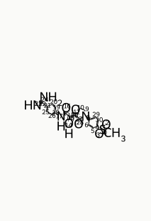 CS(=O)(=O)c1ccc(N2CCO[C@H]([C@@H](O)C(=O)Nc3ccc(C(=N)N)cc3)C2=O)cc1